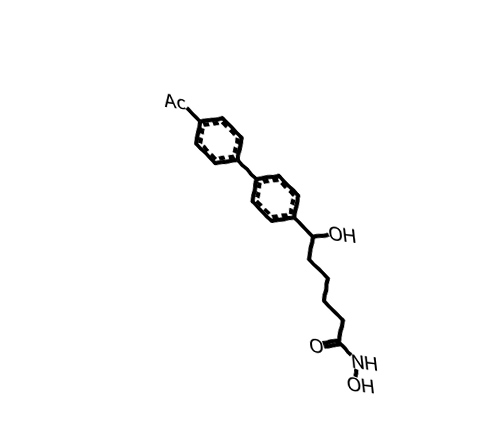 CC(=O)c1ccc(-c2ccc(C(O)CCCCC(=O)NO)cc2)cc1